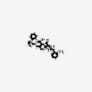 Nc1ccccc1CC(=O)NC1C(=O)N2C(C(=O)O)=C(CSc3nnnn3-c3ccccc3)CS[C@H]12